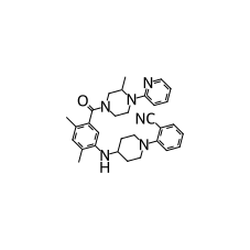 Cc1cc(C)c(C(=O)N2CCN(c3ccccn3)C(C)C2)cc1NC1CCN(c2ccccc2C#N)CC1